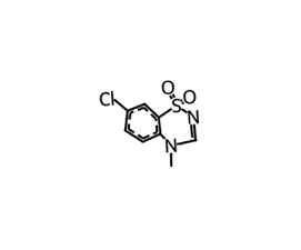 CN1C=NS(=O)(=O)c2cc(Cl)ccc21